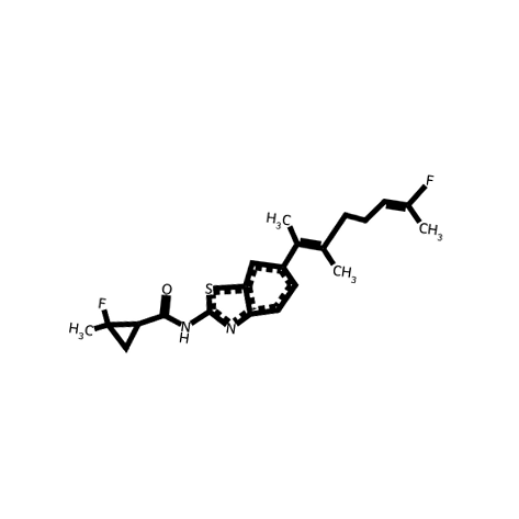 C/C(F)=C\CC/C(C)=C(\C)c1ccc2nc(NC(=O)C3CC3(C)F)sc2c1